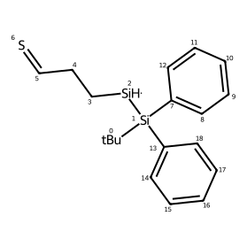 CC(C)(C)[Si]([SiH]CCC=S)(c1ccccc1)c1ccccc1